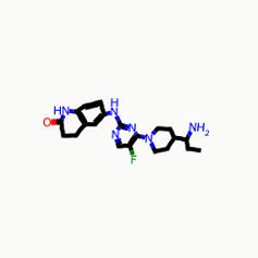 CCC(N)C1CCN(c2nc(Nc3ccc4c(c3)CCC(=O)N4)ncc2F)CC1